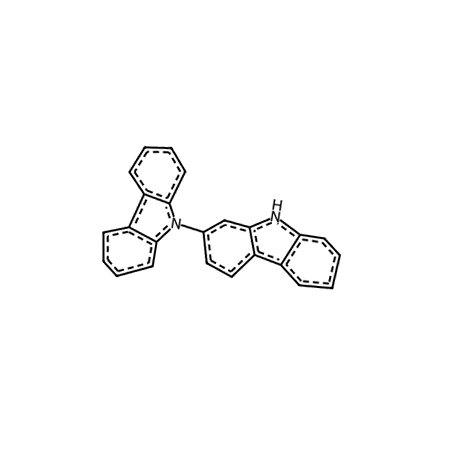 c1ccc2c(c1)[nH]c1cc(-n3c4ccccc4c4ccccc43)ccc12